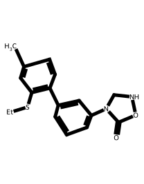 CCSc1cc(C)ccc1-c1cccc(N2CNOC2=O)c1